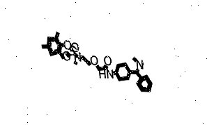 Cc1cc(C)c(OS(=O)(=O)N(C)CCOCC(=O)NC2CCC(C(c3ccccc3)N(C)C)CC2)c(C)c1